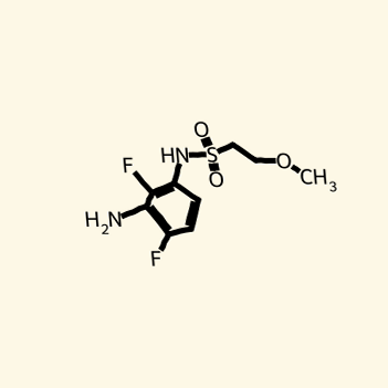 COCCS(=O)(=O)Nc1ccc(F)c(N)c1F